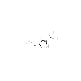 CC(C)c1cc(CNN)on1